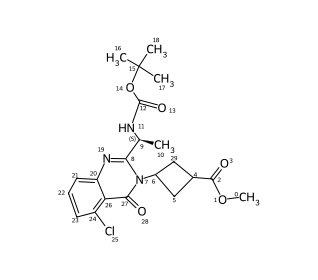 COC(=O)C1CC(n2c([C@H](C)NC(=O)OC(C)(C)C)nc3cccc(Cl)c3c2=O)C1